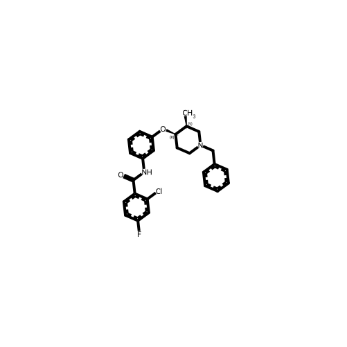 C[C@H]1CN(Cc2ccccc2)CC[C@H]1Oc1cccc(NC(=O)c2ccc(F)cc2Cl)c1